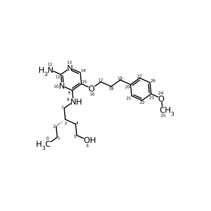 CCC[C@@H](CCO)CNc1nc(N)ncc1OCCCc1ccc(OC)cc1